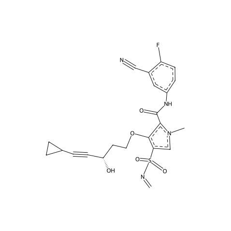 C=NS(=O)(=O)c1cn(C)c(C(=O)Nc2ccc(F)c(C#N)c2)c1OCC[C@H](O)C#CC1CC1